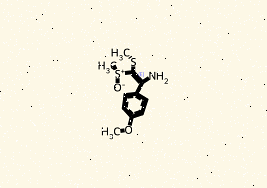 COc1ccc(/C(N)=C(/SC)[S+](C)[O-])cc1